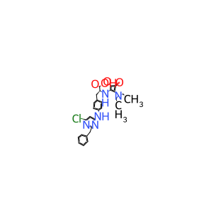 CCN(CC)c1c(N[C@@H](Cc2ccc(Nc3cc(Cl)nc(Cc4ccccc4)n3)cc2)C(=O)O)c(=O)c1=O